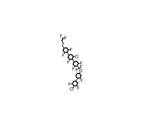 FC(F)=CCCc1cc(F)c(-c2cc(F)c(-c3cc(F)c(C(F)(F)Oc4ccc(-c5cc(F)c(Cl)c(F)c5)c(F)c4)c(F)c3)c(Cl)c2)c(F)c1